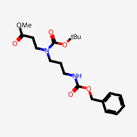 COC(=O)CCN(CCCNC(=O)OCc1ccccc1)C(=O)OC(C)(C)C